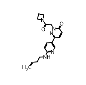 C=CCCNc1ccc(-c2ccc(=O)n(CC(=O)N3CCC3)n2)cn1